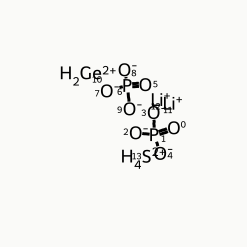 O=P([O-])([O-])[O-].O=P([O-])([O-])[O-].[GeH2+2].[Li+].[Li+].[SH4+2]